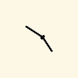 CCCCCCCCCCCCCCCCCCCN1C=CN(CCCCCCCCCCCCCCCC)C1C(C)C